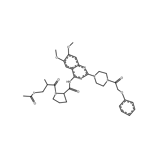 COc1cc2nc(N3CCN(C(=O)COc4ccccc4)CC3)nc(NC(=O)C3CCCN3C(=O)C(C)CSC(C)=O)c2cc1OC